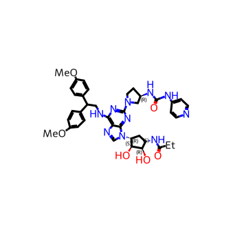 CCC(=O)N[C@H]1C[C@@H](n2cnc3c(NCC(c4ccc(OC)cc4)c4ccc(OC)cc4)nc(N4CC[C@@H](NC(=O)Nc5ccncc5)C4)nc32)[C@H](O)[C@@H]1O